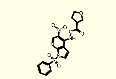 O=C(ONc1c([N+](=O)[O-])cnc2c1ccn2S(=O)(=O)c1ccccc1)C1CCOC1